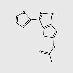 CC(=O)Oc1cc2[nH]nc(-c3cccs3)c2s1